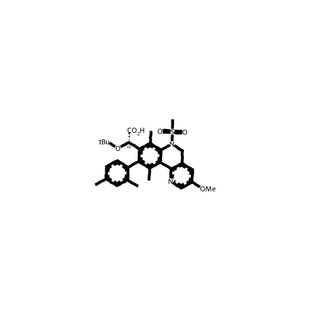 COc1cnc2c(c1)CN(S(C)(=O)=O)c1c(C)c([C@H](OC(C)(C)C)C(=O)O)c(-c3ccc(C)cc3C)c(C)c1-2